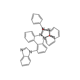 c1ccc(-c2nc3ccccc3n2-c2ccccc2-c2c(-n3cnc4ccccc43)cccc2-n2cnc3ccccc32)cc1